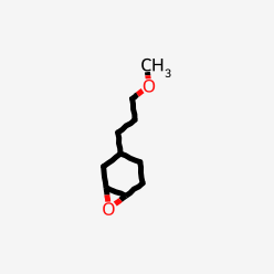 COCCCC1CCC2OC2C1